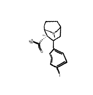 CN1C2CCC1[C@@H](C(=O)O)C(c1ccc(I)cc1)C2